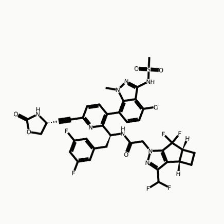 Cn1nc(NS(C)(=O)=O)c2c(Cl)ccc(-c3ccc(C#C[C@@H]4COC(=O)N4)nc3[C@H](Cc3cc(F)cc(F)c3)NC(=O)Cn3nc(C(F)F)c4c3C(F)(F)[C@@H]3CC[C@H]43)c21